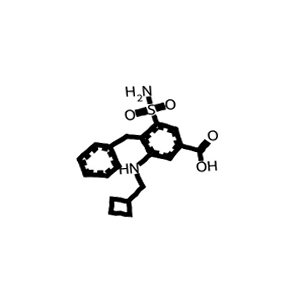 NS(=O)(=O)c1cc(C(=O)O)cc(NCC2CCC2)c1Cc1ccccc1